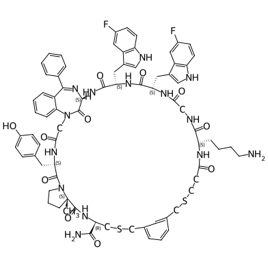 C[C@@]12CCCN1C(=O)[C@H](Cc1ccc(O)cc1)NC(=O)CN1C(=O)[C@H](N=C(c3ccccc3)c3ccccc31)NC(=O)[C@H](Cc1c[nH]c3ccc(F)cc13)NC(=O)[C@H](Cc1c[nH]c3ccc(F)cc13)NC(=O)CNC(=O)[C@H](CCCCN)NC(=O)CCSCc1cccc(c1)CSC[C@@H](C(N)=O)NC2=O